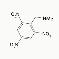 CNCc1c([N+](=O)[O-])cc([N+](=O)[O-])cc1[N+](=O)[O-]